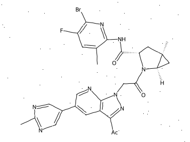 CC(=O)c1nn(CC(=O)N2[C@H](C(=O)Nc3nc(Br)c(F)cc3C)C[C@@]3(C)C[C@@H]23)c2ncc(-c3cnc(C)nc3)cc12